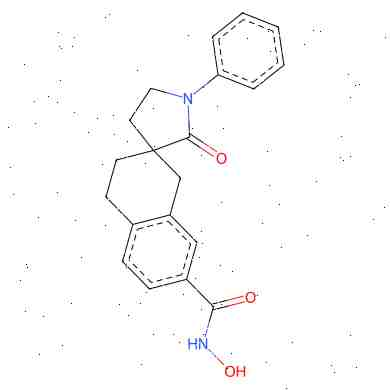 O=C(NO)c1ccc2c(c1)CC1(CC2)CCN(c2ccccc2)C1=O